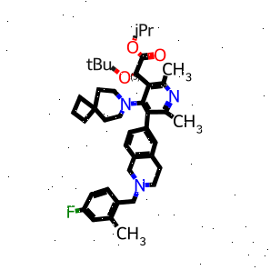 Cc1cc(F)ccc1CN1CCc2cc(-c3c(C)nc(C)c([C@H](OC(C)(C)C)C(=O)OC(C)C)c3N3CCC4(CCC4)CC3)ccc2C1